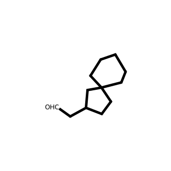 O=CCC1CCC2(CCCCC2)C1